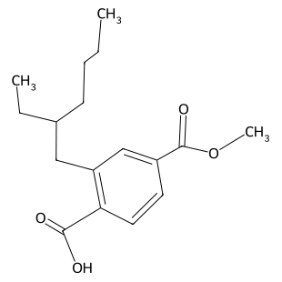 CCCCC(CC)Cc1cc(C(=O)OC)ccc1C(=O)O